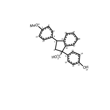 COc1ccc(C2CC(C(=O)O)(c3ccc(O)cc3)c3ccccc32)cc1